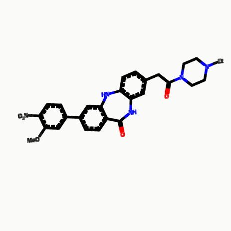 CCN1CCN(C(=O)Cc2ccc3c(c2)NC(=O)c2ccc(-c4ccc([N+](=O)[O-])c(OC)c4)cc2N3)CC1